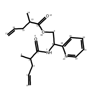 C=CCC(C)C(=O)NC(COC(=O)C(C)CC=C)c1ccccn1